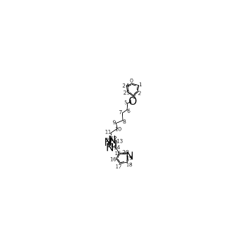 c1ccc(OCCCCCCCn2cc(-c3cccnc3)nn2)cc1